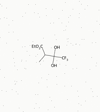 CCOC(=O)C(C)C(O)(O)C(F)(F)F